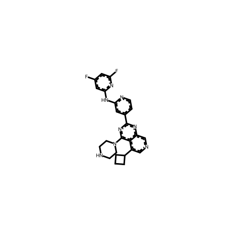 Fc1cc(F)nc(Nc2cc(-c3nc(N4CCNCC4)c4c(C5CCC5)cncc4n3)ccn2)c1